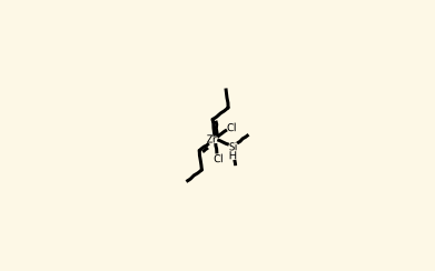 CC[CH]=[Zr]([Cl])([Cl])(=[CH]CC)[SiH](C)C